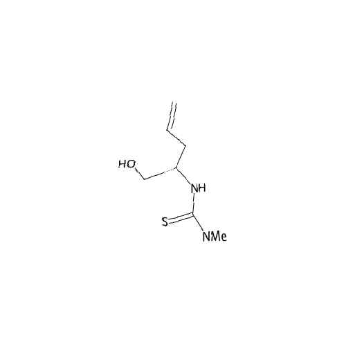 C=CCC(CO)NC(=S)NC